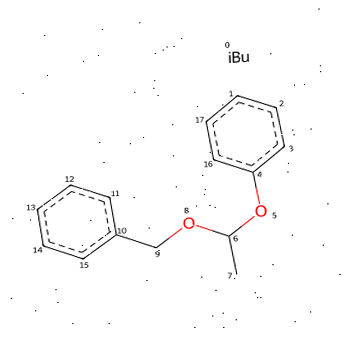 CC[C@H](C)c1ccc(OC(C)OCc2ccccc2)cc1